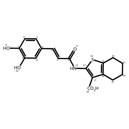 O=C(C=Cc1ccc(O)c(O)c1)Nc1sc2c(c1C(=O)O)CCCC2